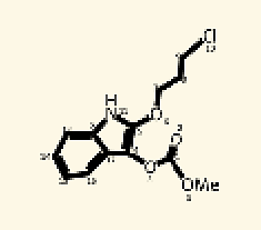 COC(=O)Oc1c(OCCCCl)[nH]c2ccccc12